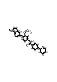 COc1cc(NC(=O)c2ccc(-c3ccccn3)cc2)ccc1-c1cnc2[nH]ccc2c1